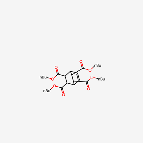 CCCCOC(=O)C1C2C=CC(C1C(=O)OCCCC)C(C(=O)OCCCC)C2C(=O)OCCCC